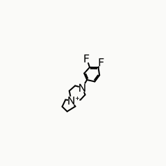 Fc1ccc(N2CC[N+]3(CCCC3)CC2)cc1F